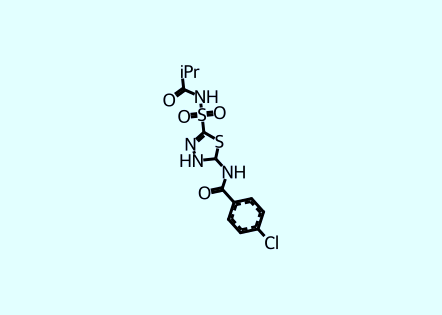 CC(C)C(=O)NS(=O)(=O)C1=NNC(NC(=O)c2ccc(Cl)cc2)S1